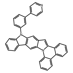 c1cc(-c2ccncc2)cc(-n2c3ccccc3c3cc4c(cc32)cc2c3ccccc3c3ccccc3n42)c1